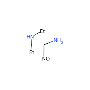 CCNCC.NCN=O